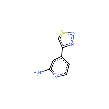 Nc1cc(-c2csnn2)ccn1